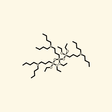 CCCCN(CCCC)CCC[Si](OCC)(OCC)O[Si](CCCN(CCCC)CCCC)(OCC)O[Si](CCCN(CCCC)CCCC)(OCC)OCC